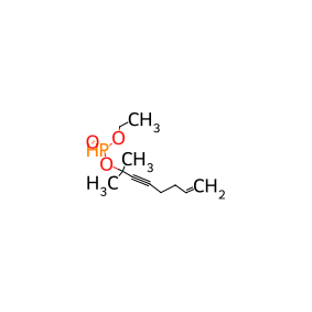 C=CCCC#CC(C)(C)O[PH](=O)OCC